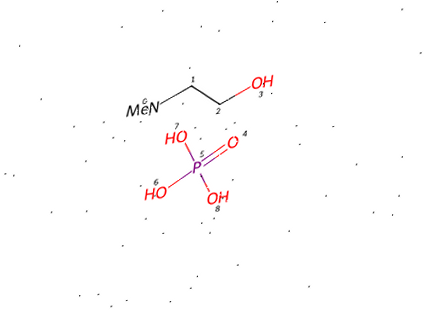 CNCCO.O=P(O)(O)O